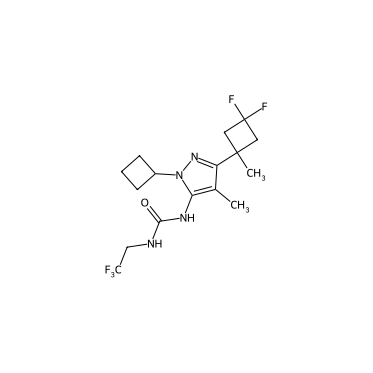 Cc1c(C2(C)CC(F)(F)C2)nn(C2CCC2)c1NC(=O)NCC(F)(F)F